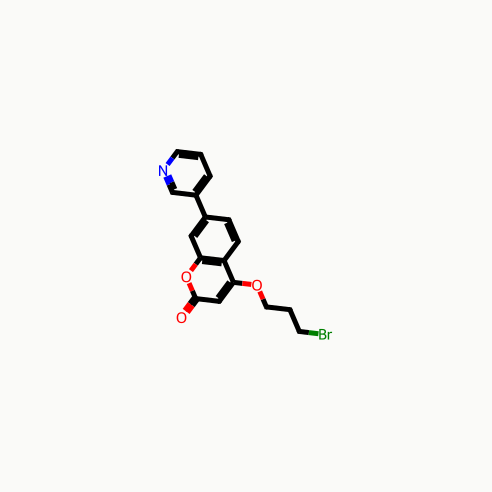 O=c1cc(OCCCBr)c2ccc(-c3cccnc3)cc2o1